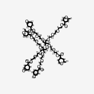 CC1CC(C(=O)OCCOCCOCCOCC(COCCOCCOC(=O)C2CCOC(C)C2)(COCCOCCOC(=O)C2CCC3OC3C2)COCC(COCCOCCOC(=O)C2CCOC(C)C2)(COCCOCCOC(=O)C2CCC3OC3C2)COCCOCCOC(=O)C2CCC3OC3C2)CCO1